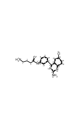 NCCCC(=O)Nc1cccc(-c2nc(N)nc3ccc(Cl)cc23)c1